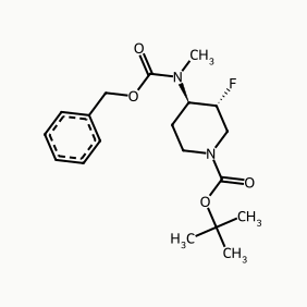 CN(C(=O)OCc1ccccc1)[C@@H]1CCN(C(=O)OC(C)(C)C)C[C@H]1F